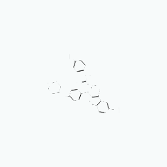 O=C(Oc1ccc(F)cc1)N1CCc2c([nH]c3ccc(Cl)cc23)C1c1ccc(OC2CCOCC2)cc1